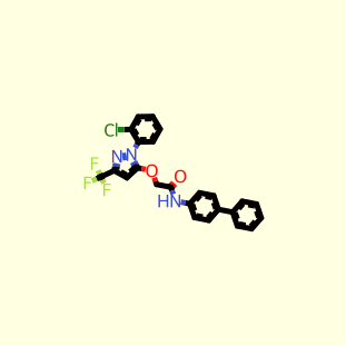 O=C(COc1cc(C(F)(F)F)nn1-c1ccccc1Cl)Nc1ccc(-c2ccccc2)cc1